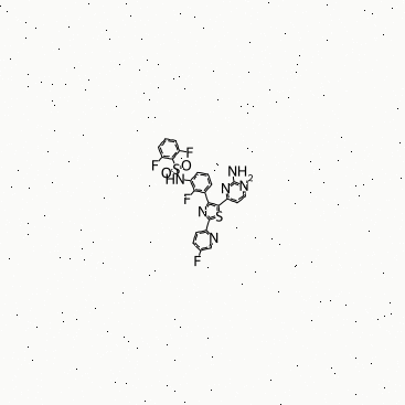 Nc1nccc(-c2sc(-c3ccc(F)cn3)nc2-c2cccc(NS(=O)(=O)c3c(F)cccc3F)c2F)n1